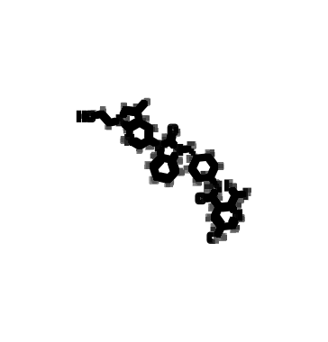 Cc1cn(CCO)c2ncc(-n3c(=O)n(C[C@H]4CC[C@H](NC(=O)c5cc(Cl)cnc5C(F)F)CC4)c4ccccc43)cc12